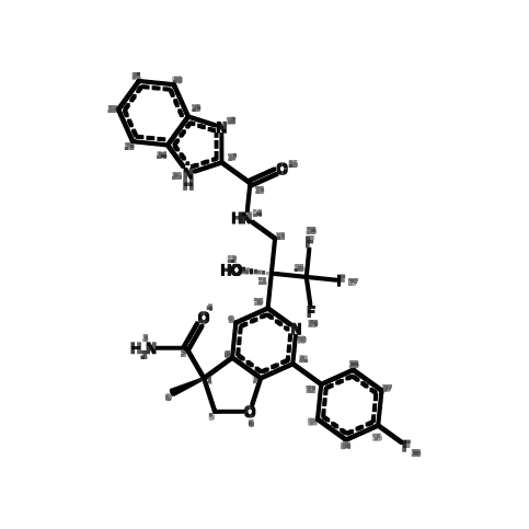 C[C@]1(C(N)=O)COc2c1cc([C@@](O)(CNC(=O)c1nc3ccccc3[nH]1)C(F)(F)F)nc2-c1ccc(F)cc1